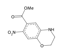 COC(=O)c1cc2c(cc1[N+](=O)[O-])OCCN2